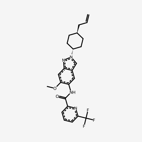 C=CC[C@H]1CC[C@H](n2cc3cc(NC(=O)c4cccc(C(F)(F)F)n4)c(OC)cc3n2)CC1